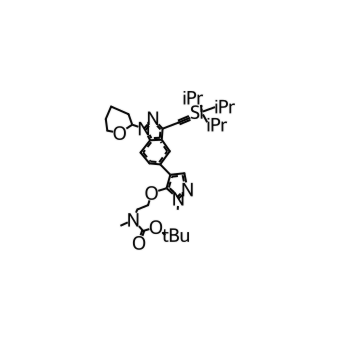 CC(C)[Si](C#Cc1nn(C2CCCCO2)c2ccc(-c3cnn(C)c3OCCN(C)C(=O)OC(C)(C)C)cc12)(C(C)C)C(C)C